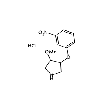 COC1CNCC1Oc1cccc([N+](=O)[O-])c1.Cl